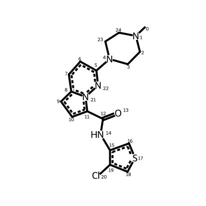 CN1CCN(c2ccc3ccc(C(=O)Nc4cscc4Cl)n3n2)CC1